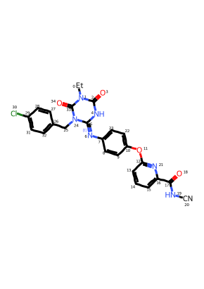 CCn1c(=O)[nH]/c(=N\c2ccc(Oc3cccc(C(=O)NC#N)n3)cc2)n(Cc2ccc(Cl)cc2)c1=O